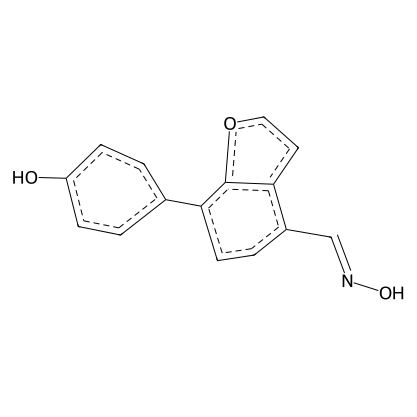 ON=Cc1ccc(-c2ccc(O)cc2)c2occc12